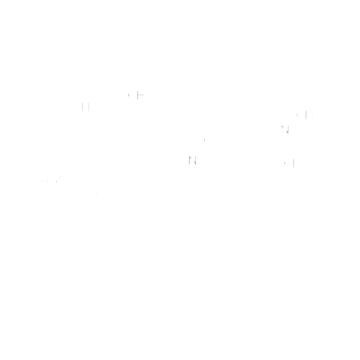 C=C(C1=C/C(=N/OCCN(C)C)CC(C)(C)C1)c1ccccc1